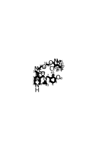 COc1cccc(CN(C(=O)C2=C(c3cnc(COCCOc4nn(C)c(C(F)(F)F)c4Cl)s3)CC3CNCC2N3)C2CC2)c1C